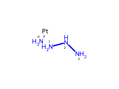 N.NNN.[Pt]